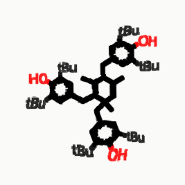 CC1=CC(C)(Cc2cc(C(C)(C)C)c(O)c(C(C)(C)C)c2)C(Cc2cc(C(C)(C)C)c(O)c(C(C)(C)C)c2)=C(C)C1Cc1cc(C(C)(C)C)c(O)c(C(C)(C)C)c1